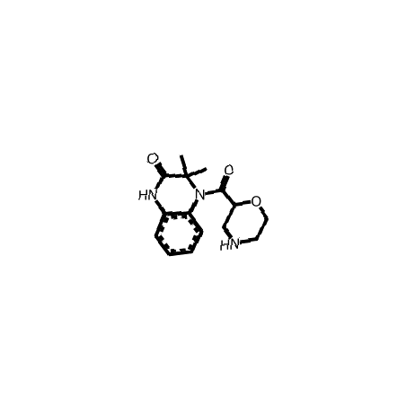 CC1(C)C(=O)Nc2ccccc2N1C(=O)C1CNCCO1